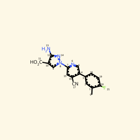 Cc1cc(-c2cnc(-n3cc(C(=O)O)c(N)n3)cc2C#N)ccc1F